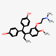 CCC(=C(c1ccc(O)cc1)c1ccc(O)cc1)c1ccc(OC)c(OCCN(C)C)c1